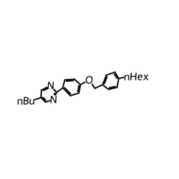 CCCCCCc1ccc(COc2ccc(-c3ncc(CCCC)cn3)cc2)cc1